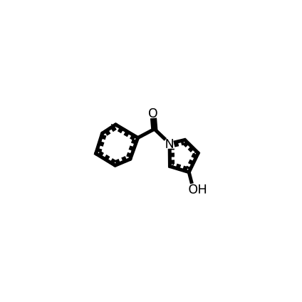 O=C(c1[c]cccc1)n1ccc(O)c1